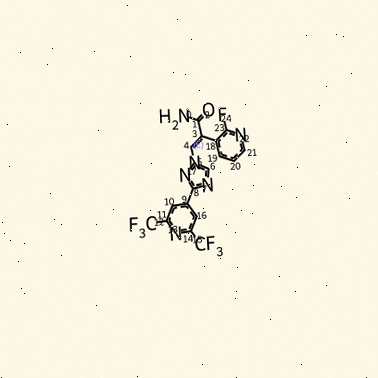 NC(=O)/C(=C/n1cnc(-c2cc(C(F)(F)F)nc(C(F)(F)F)c2)n1)c1cccnc1F